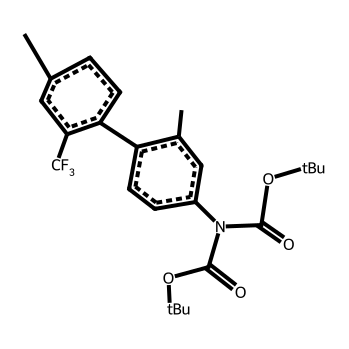 Cc1ccc(-c2ccc(N(C(=O)OC(C)(C)C)C(=O)OC(C)(C)C)cc2C)c(C(F)(F)F)c1